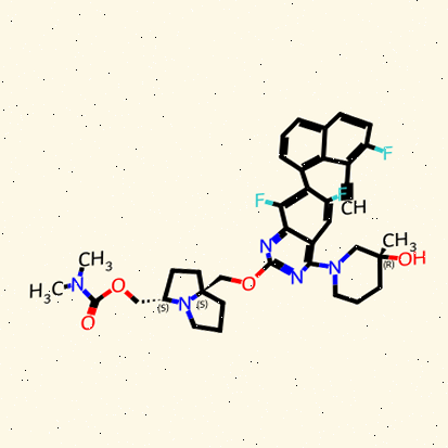 C#Cc1c(F)ccc2cccc(-c3c(F)cc4c(N5CCC[C@@](C)(O)C5)nc(OC[C@@]56CCCN5[C@H](COC(=O)N(C)C)CC6)nc4c3F)c12